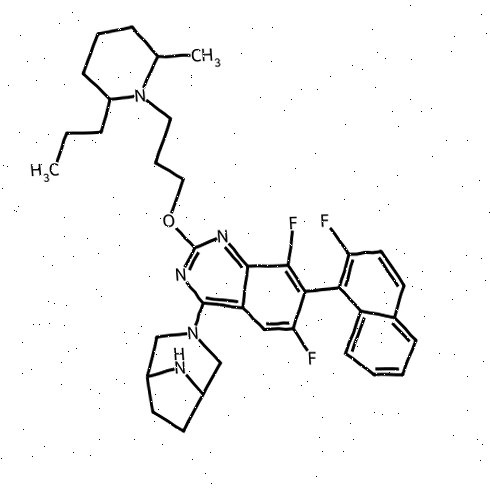 CCCC1CCCC(C)N1CCCOc1nc(N2CC3CCC(C2)N3)c2cc(F)c(-c3c(F)ccc4ccccc34)c(F)c2n1